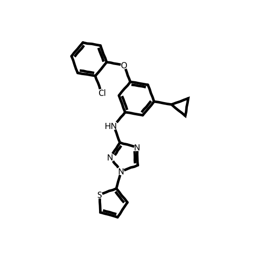 Clc1ccccc1Oc1cc(Nc2ncn(-c3cccs3)n2)cc(C2CC2)c1